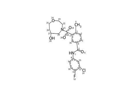 Cc1ccc(C(=O)Nc2ccc(F)c(Cl)c2)cc1S(=O)(=O)N1CCOCCC(O)C1